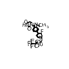 Cn1nc(N2CCC(=O)NC2=O)c2ccc(C3CCN(CC(=O)OC(=O)C(F)(F)F)CC3F)cc21